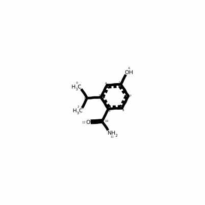 CC(C)c1cc(O)ccc1C(N)=O